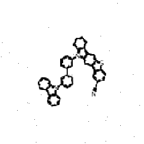 N#Cc1ccc2sc3cc4c5ccccc5n(-c5cccc(-c6cccc(-n7c8ccccc8c8ccccc87)c6)c5)c4cc3c2c1